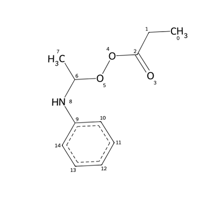 CCC(=O)OOC(C)Nc1ccccc1